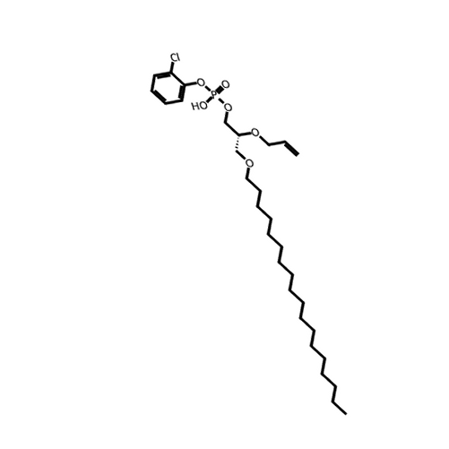 C=CCO[C@H](COCCCCCCCCCCCCCCCCCC)COP(=O)(O)Oc1ccccc1Cl